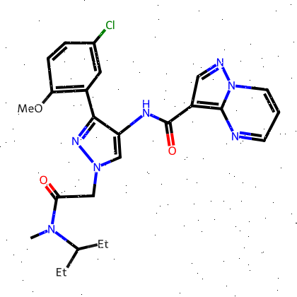 CCC(CC)N(C)C(=O)Cn1cc(NC(=O)c2cnn3cccnc23)c(-c2cc(Cl)ccc2OC)n1